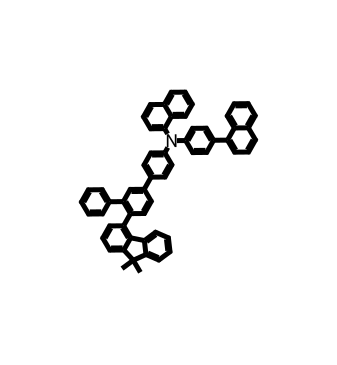 CC1(C)c2ccccc2-c2c(-c3ccc(-c4ccc(N(c5ccc(-c6cccc7ccccc67)cc5)c5cccc6ccccc56)cc4)cc3-c3ccccc3)cccc21